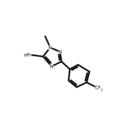 CCCc1nc(-c2ccc(C(F)(F)F)cc2)nn1C